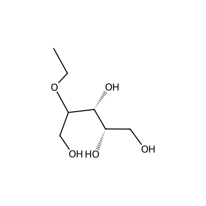 CCOC(CO)[C@H](O)[C@@H](O)CO